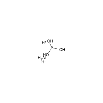 OP(O)O.[AlH3].[H+].[H+]